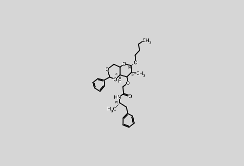 CCCCO[C@H]1OC2COC(c3ccccc3)O[C@H]2C(OCC(=O)N[C@@H](C)Cc2ccccc2)[C@@H]1C